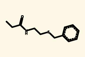 CCC(=O)NCCSCc1ccccc1